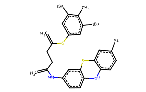 C=C(CCC(=C)Sc1cc(C(C)(C)C)c(C)c(C(C)(C)C)c1)Nc1ccc2c(c1)Sc1cc(CC)ccc1N2